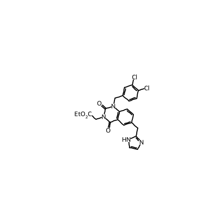 CCOC(=O)Cn1c(=O)c2cc(Cc3ncc[nH]3)ccc2n(Cc2ccc(Cl)c(Cl)c2)c1=O